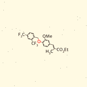 CCOC(=O)C(C)=Cc1ccc(OCc2ccc(C(F)(F)F)cc2C(F)(F)F)c(OC)c1